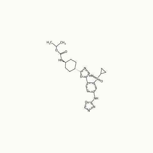 CC(C)OC(=O)N[C@H]1CC[C@H](c2ncc(-c3ccc(Nc4nnco4)cc3S(=N)(=O)C3CC3)s2)CC1